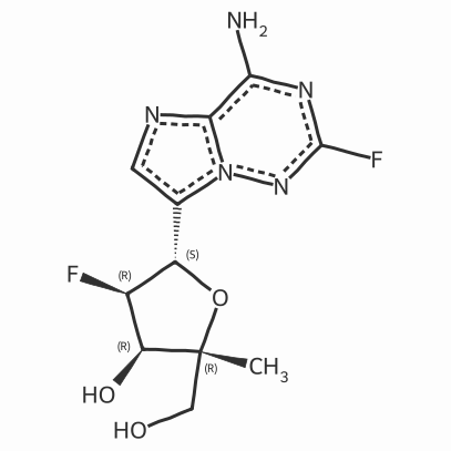 C[C@]1(CO)O[C@@H](c2cnc3c(N)nc(F)nn23)[C@H](F)[C@@H]1O